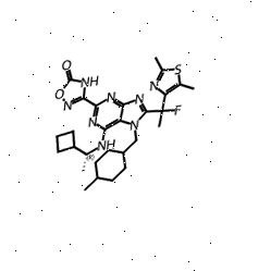 Cc1nc(C(C)(F)c2nc3nc(-c4noc(=O)[nH]4)nc(N[C@H](C)C4CCC4)c3n2CC2CCC(C)CC2)c(C)s1